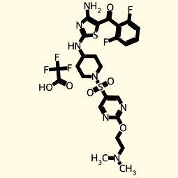 CN(C)CCOc1ncc(S(=O)(=O)N2CCC(Nc3nc(N)c(C(=O)c4c(F)cccc4F)s3)CC2)cn1.O=C(O)C(F)(F)F